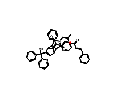 CC(CN1C(=O)C2C3C=C(C(O)(c4ccccc4)c4ccccn4)C(C3=C(c3ccccc3)c3ccccn3)C2C1=O)OC(=O)C=Cc1ccccc1